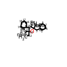 C=CC(Cc1ccccc1)(OC(C=C)(Cc1ccccc1)C(CC)CCCC)C(CC)CCCC